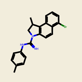 Cc1ccc(NC(=N)N2CC(C)c3c2ccc2c(Br)cccc32)cc1